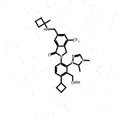 COCc1c(C2CCC2)ccc(N2Cc3c(cc(CNC4(C)CCC4)cc3C(F)(F)F)C2=O)c1N1N=CN(C)C1C